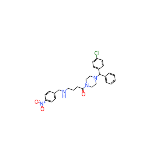 O=C(CCCNCc1ccc([N+](=O)[O-])cc1)N1CCN(C(c2ccccc2)c2ccc(Cl)cc2)CC1